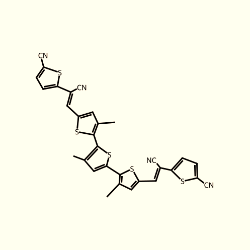 Cc1cc(/C=C(\C#N)c2ccc(C#N)s2)sc1-c1cc(C)c(-c2sc(/C=C(\C#N)c3ccc(C#N)s3)cc2C)s1